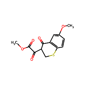 COC(=O)C(=O)C1CSc2ccc(OC)cc2C1=O